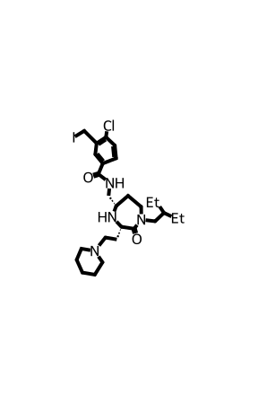 CCC(CC)CN1CC[C@@H](CNC(=O)c2ccc(Cl)c(CI)c2)N[C@@H](CCN2CCCCC2)C1=O